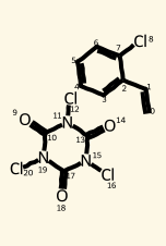 C=Cc1ccccc1Cl.O=c1n(Cl)c(=O)n(Cl)c(=O)n1Cl